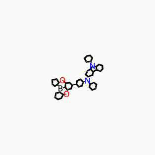 c1ccc(N(c2ccc(-c3cc4c5c(c3)Oc3ccccc3B5c3ccccc3O4)cc2)c2ccc3c(c2)c2ccccc2n3-c2ccccc2)cc1